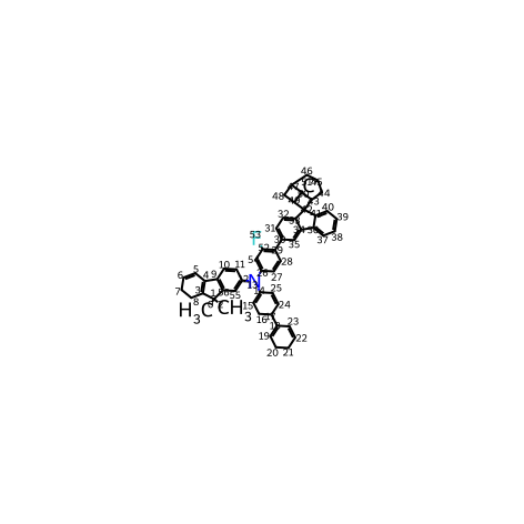 CC1(C)C2=C(C=CCC2)c2ccc(N(C3=CCC(C4=CCCC=C4)C=C3)c3ccc(-c4ccc5c(c4)-c4ccccc4C54C5CC6CC7CC4C75C6)c(F)c3)cc21